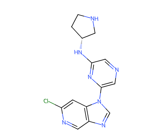 Clc1cc2c(cn1)ncn2-c1cncc(N[C@@H]2CCNC2)n1